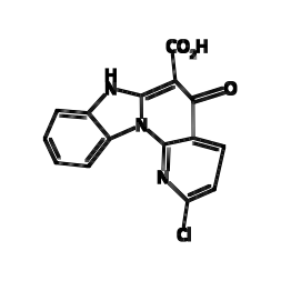 O=C(O)c1c(=O)c2ccc(Cl)nc2n2c1[nH]c1ccccc12